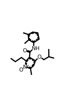 CCCc1c(C(=O)Nc2cccc(C)c2C)c(OCC(C)C)cc(C)[n+]1[O-]